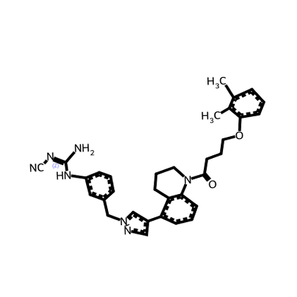 Cc1cccc(OCCCC(=O)N2CCCc3c(-c4cnn(Cc5cccc(N/C(N)=N\C#N)c5)c4)cccc32)c1C